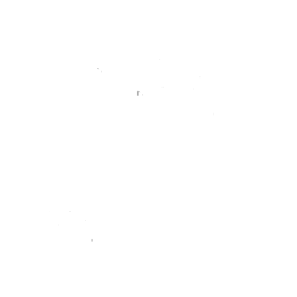 Cc1onc(-c2ccc(-c3ccc(C4(C(=O)O)CC4)cc3)cc2)c1NC(=O)OC(C)(C)c1ccccc1